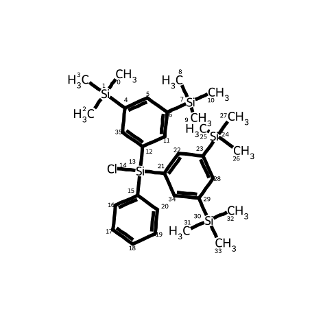 C[Si](C)(C)c1cc([Si](C)(C)C)cc([Si](Cl)(c2ccccc2)c2cc([Si](C)(C)C)cc([Si](C)(C)C)c2)c1